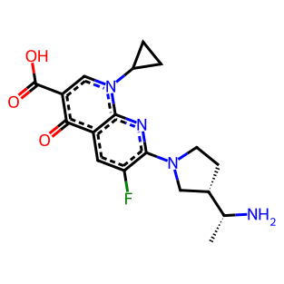 C[C@@H](N)[C@H]1CCN(c2nc3c(cc2F)c(=O)c(C(=O)O)cn3C2CC2)C1